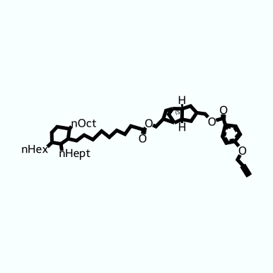 C#CCOc1ccc(C(=O)OCC2C[C@@H]3C4CC(CC4COC(=O)CCCCCCCCC4C(CCCCCCCC)CCC(CCCCCC)C4CCCCCCC)[C@@H]3C2)cc1